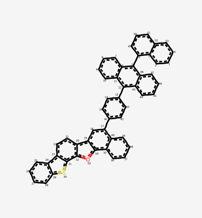 c1ccc2c(-c3c4ccccc4c(-c4ccc(-c5cc6c7ccc8c9ccccc9sc8c7oc6c6ccccc56)cc4)c4ccccc34)cccc2c1